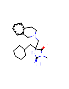 CN1C(=N)NC(CC2CCCCC2)(CN2CCc3ccccc3C2)C1=O